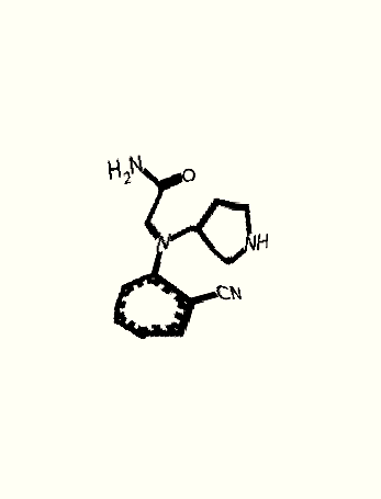 N#Cc1ccccc1N(CC(N)=O)C1CCNC1